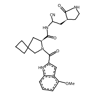 COc1cccc2[nH]c(C(=O)N3CC4(CCC4)C[C@H]3C(=O)NC(C#N)C[C@@H]3CCNC3=O)cc12